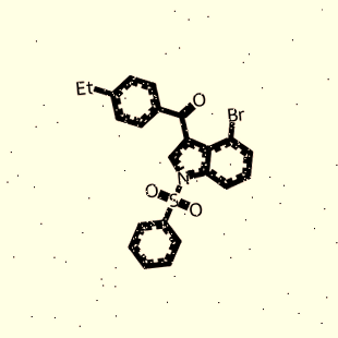 CCc1ccc(C(=O)c2cn(S(=O)(=O)c3ccccc3)c3cccc(Br)c23)cc1